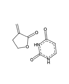 C=C1CCOC1=O.O=c1cc[nH]c(=O)[nH]1